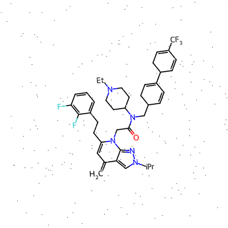 C=C1C=C(CCc2cccc(F)c2F)N(CC(=O)N(CC2C=CC(C3C=CC(C(F)(F)F)=CC3)=CC2)C2CCN(CC)CC2)c2nn(C(C)C)cc21